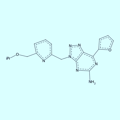 CC(C)OCc1cccc(Cn2nnc3c(-c4ccco4)nc(N)nc32)n1